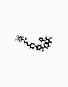 Cc1c(Br)c(=O)n(C2CCCC2)c2nc(Nc3ccc(N4CCC(CCC[S+]([O-])c5n[nH]c(=O)[nH]5)CC4)cc3)ncc12